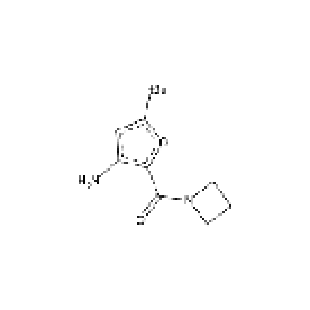 CC(C)(C)c1cc(N)c(C(=O)N2CCC2)o1